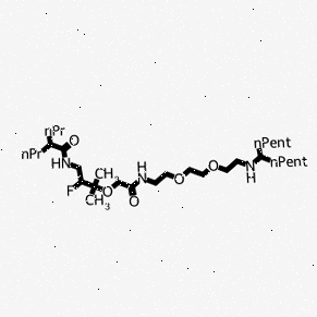 CCCCCC(CCCCC)NCCOCCOCCNC(=O)COC(C)(C)C(F)CNC(=O)C(CCC)CCC